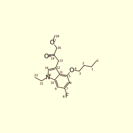 CCCCOc1cc(F)cc2c1c(CC(=O)COC)cn2CC